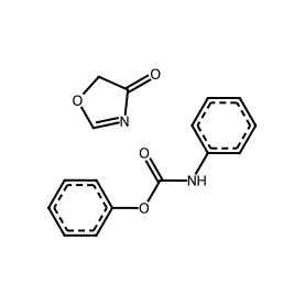 O=C(Nc1ccccc1)Oc1ccccc1.O=C1COC=N1